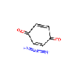 O=C1C=CC(=O)C=C1.[N-]=[N+]=N